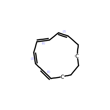 [CH]1C\C=C/C=C/C=C\C=C\CCC1